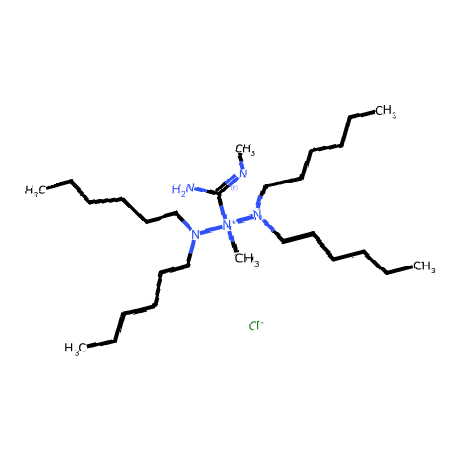 CCCCCCN(CCCCCC)[N+](C)(/C(N)=N/C)N(CCCCCC)CCCCCC.[Cl-]